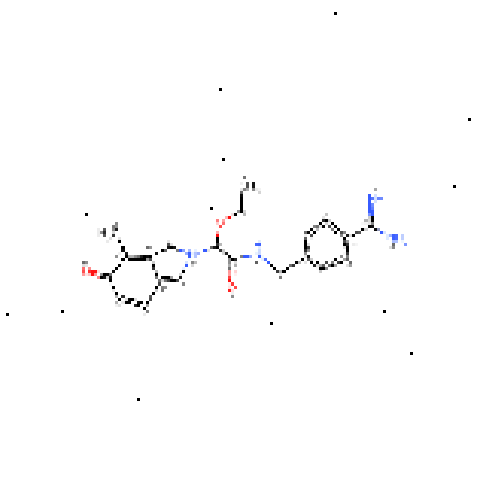 CCOC(C(=O)NCc1ccc(C(=N)N)cc1)N1C=C2C=CC(=O)C(C)=C2C1